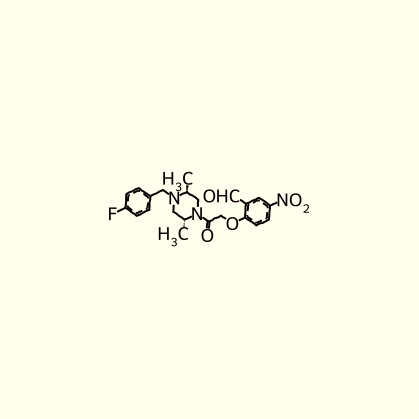 C[C@@H]1CN(Cc2ccc(F)cc2)[C@@H](C)CN1C(=O)COc1ccc([N+](=O)[O-])cc1C=O